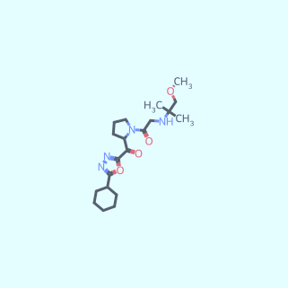 COCC(C)(C)NCC(=O)N1CCCC1C(=O)c1nnc(C2CCCCC2)o1